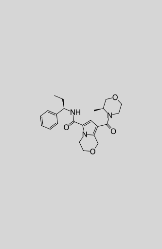 CC[C@@H](NC(=O)c1cc(C(=O)N2CCOC[C@@H]2C)c2n1CCOC2)c1ccccc1